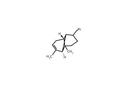 CC1=CC[C@@H]2C3C(C(C)C)CCC2(C)[C@@H]13